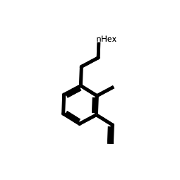 C=Cc1cccc(CCCCCCCC)c1C